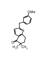 COc1cccc(Cc2ccc3c(n2)CCC(C)(C)C3=O)c1